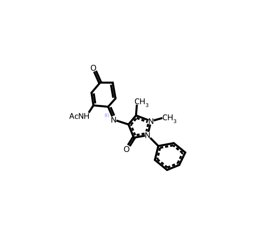 CC(=O)NC1=CC(=O)C=C/C1=N\c1c(C)n(C)n(-c2ccccc2)c1=O